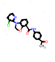 CC(=O)c1ccc(NC(=O)c2cccc3c2OCCN3c2ncccc2Cl)cc1